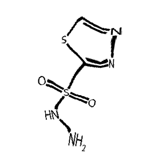 NNS(=O)(=O)c1nncs1